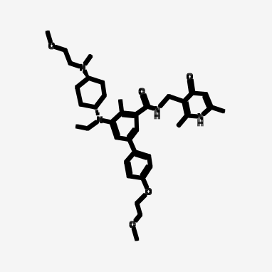 CCN(c1cc(-c2ccc(OCCOC)cc2)cc(C(=O)NCc2c(C)[nH]c(C)cc2=O)c1C)[C@H]1CC[C@H](N(C)CCOC)CC1